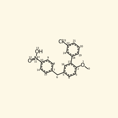 COc1ccc(Cc2ccc([N+](=O)O)cc2)cc1-c1cccc(Cl)c1